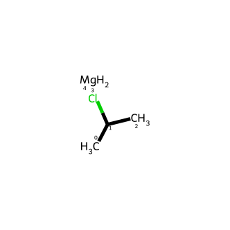 CC(C)Cl.[MgH2]